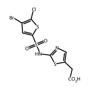 O=C(O)Cc1cnc(NS(=O)(=O)c2cc(Br)c(Cl)s2)s1